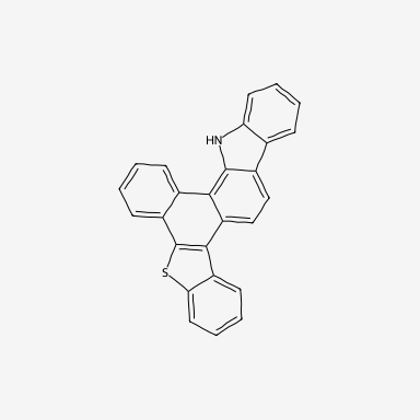 c1ccc2c(c1)[nH]c1c2ccc2c1c1ccccc1c1sc3ccccc3c21